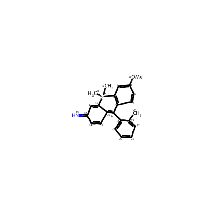 COc1ccc2c(c1)[Si](C)(C)C1=CC(=N)C=CC1=C2c1ccccc1C